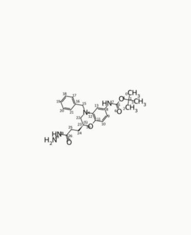 CC(C)(C)OC(=O)Nc1ccc2c(c1)N(Cc1ccccc1)C[C@H](CCC(=O)NN)O2